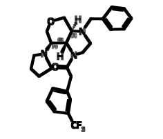 O=C(Cc1cccc(C(F)(F)F)c1)N1CCN(Cc2ccccc2)[C@@H]2COC[C@H](N3CCCC3)[C@H]21